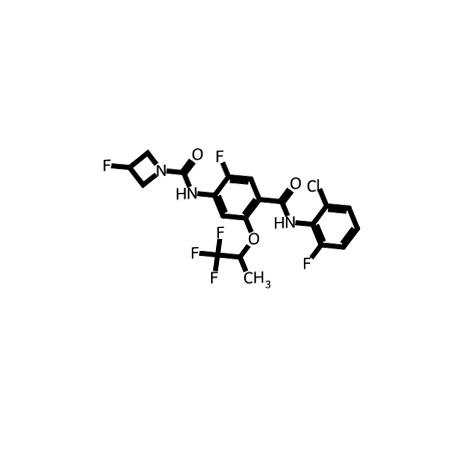 CC(Oc1cc(NC(=O)N2CC(F)C2)c(F)cc1C(=O)Nc1c(F)cccc1Cl)C(F)(F)F